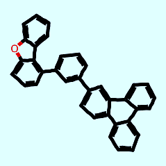 c1cc(-c2ccc3c4ccccc4c4ccccc4c3c2)cc(-c2cccc3oc4ccccc4c23)c1